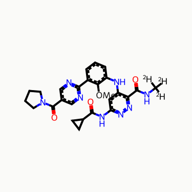 [2H]C([2H])([2H])NC(=O)c1nnc(NC(=O)C2CC2)cc1Nc1cccc(-c2ncc(C(=O)N3CCCC3)cn2)c1OC